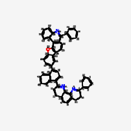 c1ccc(C2=Nc3c(ccc4ccc(-c5ccc(-c6ccc7oc8c(ccc9c(-c%10ccccc%10)nc%10ccccc%10c98)c7c6)c6ccccc56)nc34)CC2)cc1